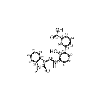 CN1C(=O)C(=NNc2cccc(-c3cccc(C(=O)O)c3)c2O)c2ccccc21